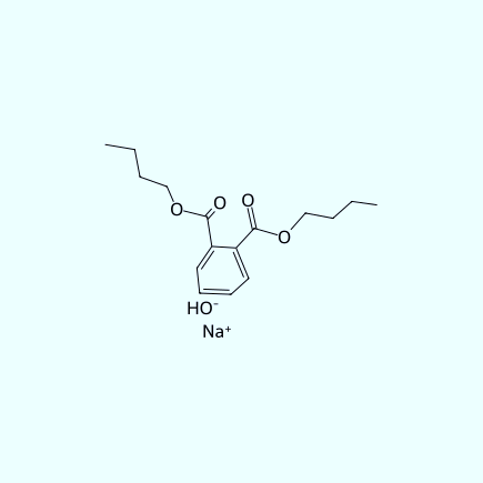 CCCCOC(=O)c1ccccc1C(=O)OCCCC.[Na+].[OH-]